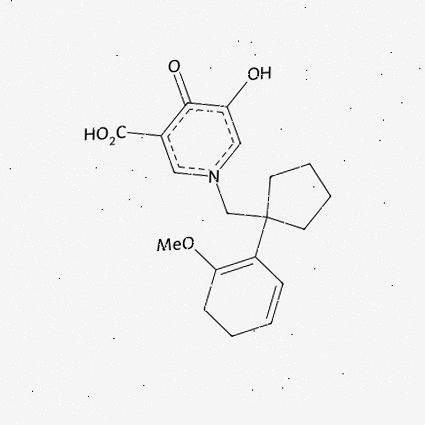 COC1=C(C2(Cn3cc(O)c(=O)c(C(=O)O)c3)CCCC2)C=CCC1